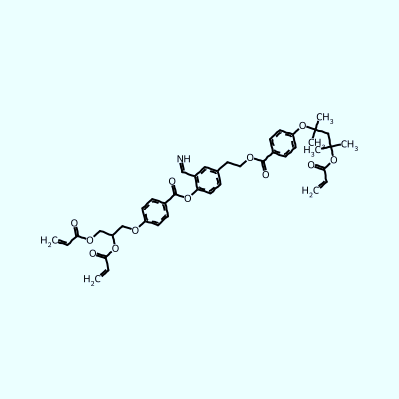 C=CC(=O)OCC(COc1ccc(C(=O)Oc2ccc(CCOC(=O)c3ccc(OC(C)(C)CC(C)(C)OC(=O)C=C)cc3)cc2C=N)cc1)OC(=O)C=C